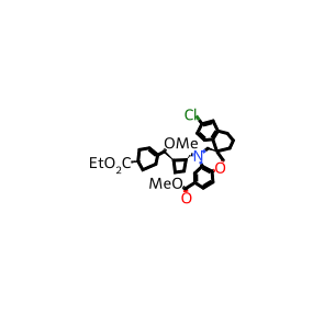 CCOC(=O)[C@H]1CC=C(C(OC)[C@@H]2CC[C@H]2CN2C[C@@]3(CCCc4cc(Cl)ccc43)COc3ccc(C(=O)OC)cc32)CC1